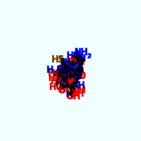 N=C(N)NCCC[C@H](NC(=O)[C@@H](NC(=O)[C@H](CCC(=O)O)NC(=O)[C@@H](NC(=O)CCCNC(=O)c1ccc(NCc2cnc3nc(N)[nH]c(=O)c3n2)cc1)[C@@H](O)[C@H](O)[C@H](O)CO)[C@@H](O)[C@H](O)[C@H](O)CO)C(=O)NCC(=O)N[C@@H](CCC(=O)O)C(=O)NCC(=O)NCCS